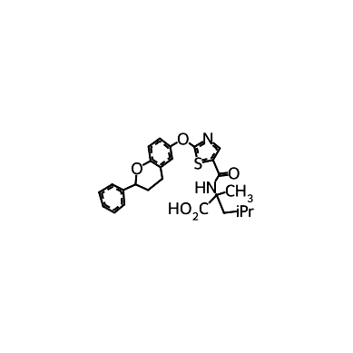 CC(C)CC(C)(NC(=O)c1cnc(Oc2ccc3c(c2)CCC(c2ccccc2)O3)s1)C(=O)O